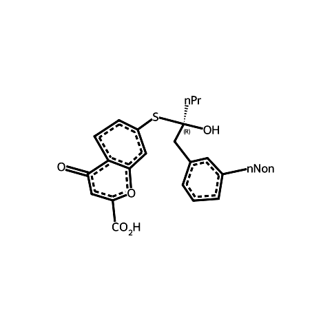 CCCCCCCCCc1cccc(C[C@@](O)(CCC)Sc2ccc3c(=O)cc(C(=O)O)oc3c2)c1